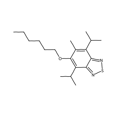 CCCCCCOc1c(C)c(C(C)C)c2nsnc2c1C(C)C